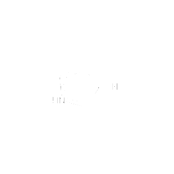 [H+].c1cc[nH]c1